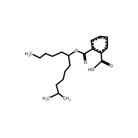 CCCCCC(CCCCC(C)C)OC(=O)c1ccccc1C(=O)O